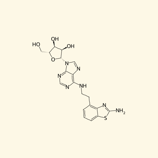 Nc1nc2c(CCNc3ncnc4c3ncn4[C@@H]3O[C@H](CO)[C@@H](O)[C@H]3O)cccc2s1